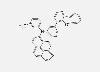 Cc1cccc(N(c2cccc(-c3cccc4c3oc3ccccc34)c2)c2ccc3ccc4cccc5ccc2c3c45)c1